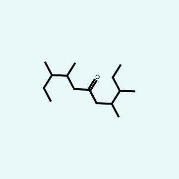 CCC(C)C(C)CC(=O)CC(C)C(C)CC